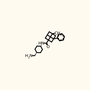 CC12CC3CC4(C(=O)N[C@H]5CC[C@H](CN)CC5)CC(c5ccccc5)(C1)C324